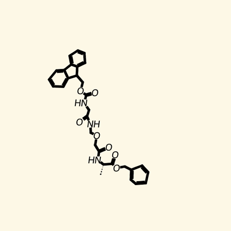 C[C@H](NC(=O)COCNC(=O)CNC(=O)OCC1c2ccccc2-c2ccccc21)C(=O)OCc1ccccc1